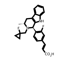 C[C@@H]1Cc2c([nH]c3ccccc23)[C@@H](c2ccc(/C=C/C(=O)O)cc2F)N1CC1(F)CC1